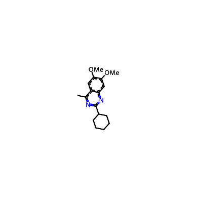 COc1cc2nc(C3CCCCC3)nc(C)c2cc1OC